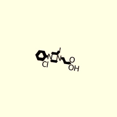 O=C(O)CCN1CCN(c2ccccc2Cl)CC1I